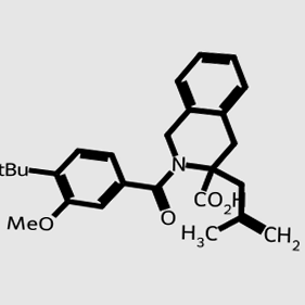 C=C(C)CC1(C(=O)O)Cc2ccccc2CN1C(=O)c1ccc(C(C)(C)C)c(OC)c1